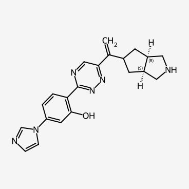 C=C(c1cnc(-c2ccc(-n3ccnc3)cc2O)nn1)C1C[C@H]2CNC[C@H]2C1